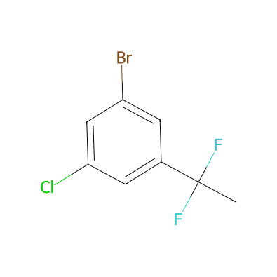 CC(F)(F)c1cc(Cl)cc(Br)c1